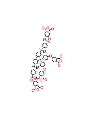 CCC(C)(Oc1ccc2c(c1)C(=O)OC2=O)c1ccc(C(C)(CC)c2ccc3c(c2)C(c2ccc(Oc4ccc5c(c4)C(=O)OC5=O)cc2)(c2ccc(Oc4ccc5c(c4)C(=O)OC5=O)cc2)c2cc(C(C)(CC)c4ccc(C(C)(CC)Oc5ccc6c(c5)C(=O)OC6=O)cc4)ccc2-3)cc1